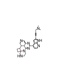 CN(C)CC#Cc1cc2c(C3=NC4=CN=CC(C5CCC5)C4C(N4CCNCC4)=N3)ccnc2[nH]1